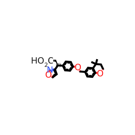 CC1(C)CCOc2ccc(COc3ccc([C@H](CC(=O)O)c4ccon4)cc3)cc21